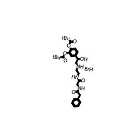 Br.CC(C)(C)C(=O)Oc1ccc(C(O)CNCCNC(=O)CNC(=O)Cc2ccccc2)cc1OC(=O)C(C)(C)C